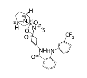 C=CCOC(=O)N1[C@@H]2CC[C@H]1C[C@@H](N(P=S)C(=O)CCNC(=O)c1ccccc1Nc1cccc(C(F)(F)F)c1)C2